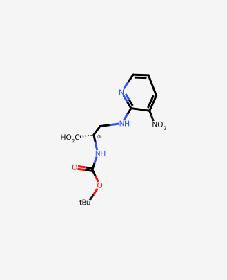 CC(C)(C)OC(=O)N[C@@H](CNc1ncccc1[N+](=O)[O-])C(=O)O